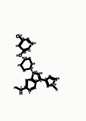 CNc1cc2c(cn1)c(-c1cnn(C)c1)nn2[C@H]1CC[C@@H](Oc2cncc(Cl)c2)CC1